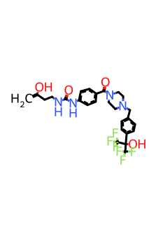 C=C(O)CCNC(=O)Nc1ccc(C(=O)N2CCN(Cc3ccc(C(O)(C(F)(F)F)C(F)(F)F)cc3)CC2)cc1